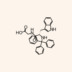 O=C(O)CNC(=O)[C@H](Cc1c[nH]c2ccccc12)NC(c1ccccc1)(c1ccccc1)c1ccccc1